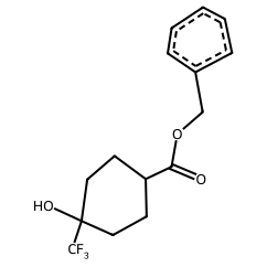 O=C(OCc1ccccc1)C1CCC(O)(C(F)(F)F)CC1